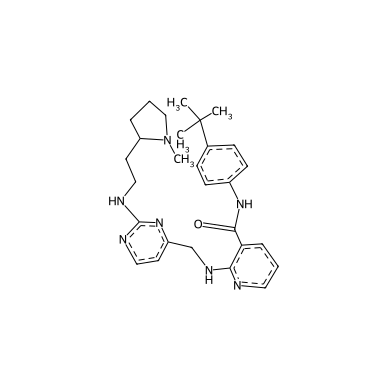 CN1CCCC1CCNc1nccc(CNc2ncccc2C(=O)Nc2ccc(C(C)(C)C)cc2)n1